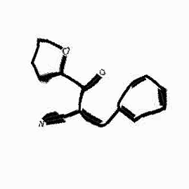 N#CC(=Cc1ccccc1)C(=O)C1CCCO1